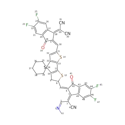 C\N=C/C(C#N)=C1\C(=C\C2CC3=C(S2)c2sc(/C=C4\C(=O)c5cc(F)c(F)cc5C4=C(C#N)C#N)cc2[Si]32CCCCC2)C(=O)c2cc(F)c(F)cc21